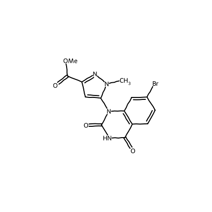 COC(=O)c1cc(-n2c(=O)[nH]c(=O)c3ccc(Br)cc32)n(C)n1